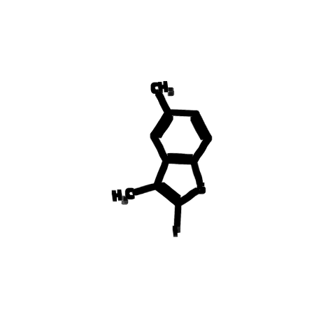 Cc1ccc2sc(F)c(C)c2c1